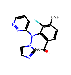 COC(=O)c1ccc(OC)c(F)c1N(c1cccnn1)n1ccnc1